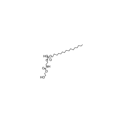 CCCCCCCCCCCCCCCCOP(=O)(O)OCCNC(=O)OCCO